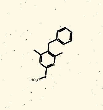 Cc1nc(SC(=O)O)nc(C)c1Cc1ccccc1